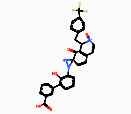 O=C(O)c1cccc(-c2cccc(N3NC34C=CC3=C(C4=O)C(Cc4ccc(C(F)(F)F)cc4)[N+](=O)C=C3)c2O)c1